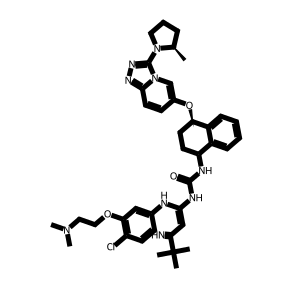 C[C@@H]1CCCN1c1nnc2ccc(O[C@@H]3CCC(NC(=O)N/C(=C/C(=N)C(C)(C)C)Nc4ccc(Cl)c(OCCN(C)C)c4)c4ccccc43)cn12